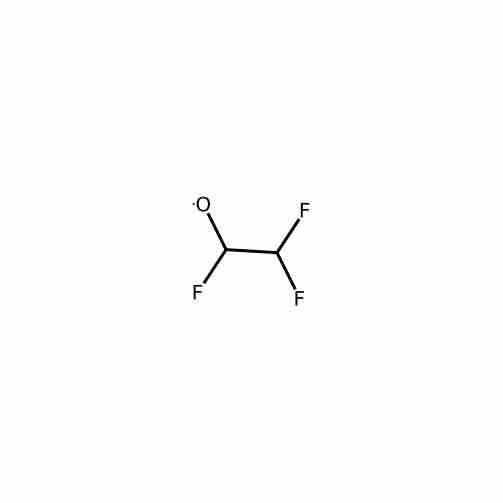 [O]C(F)C(F)F